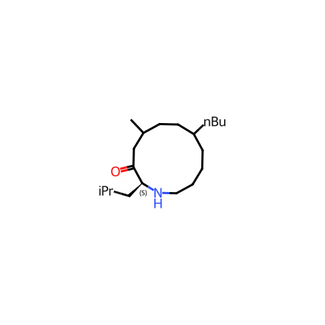 CCCCC1CCCCN[C@@H](CC(C)C)C(=O)CC(C)CC1